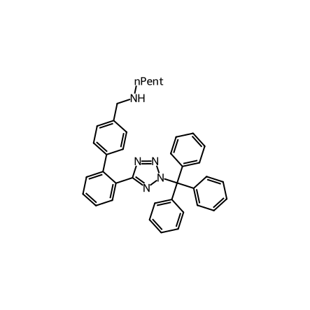 CCCCCNCc1ccc(-c2ccccc2-c2nnn(C(c3ccccc3)(c3ccccc3)c3ccccc3)n2)cc1